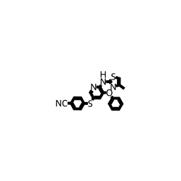 Cc1csc(Nc2ncc(Sc3ccc(C#N)cc3)cc2Oc2ccccc2)n1